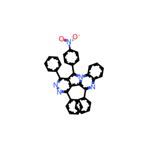 O=[N+]([O-])c1ccc(-c2c3c(-c4ccccc4)nnc(-c4ccccc4)c3c3c(-c4ccccc4)nc4ccccc4n23)cc1